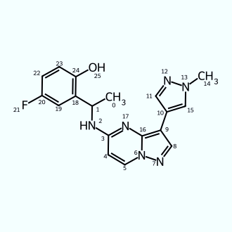 CC(Nc1ccn2ncc(-c3cnn(C)c3)c2n1)c1cc(F)ccc1O